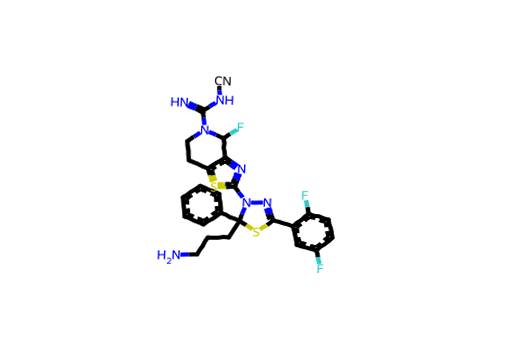 N#CNC(=N)N1CCc2sc(N3N=C(c4cc(F)ccc4F)SC3(CCCN)c3ccccc3)nc2C1F